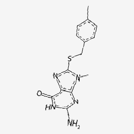 Cc1ccc(CSc2nc3c(=O)[nH]c(N)nc3n2C)cc1